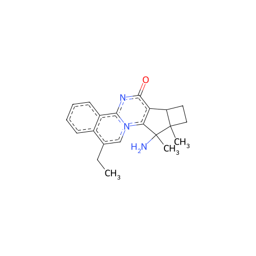 CCc1cn2c3c(c(=O)nc2c2ccccc12)C1CCC1(C)C3(C)N